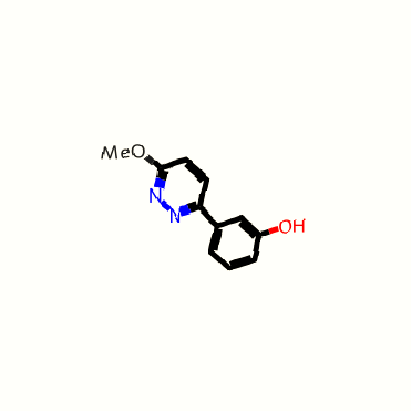 COc1ccc(-c2cccc(O)c2)nn1